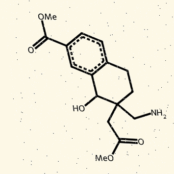 COC(=O)CC1(CN)CCc2ccc(C(=O)OC)cc2C1O